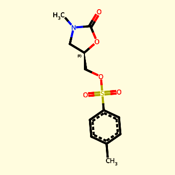 Cc1ccc(S(=O)(=O)OC[C@H]2CN(C)C(=O)O2)cc1